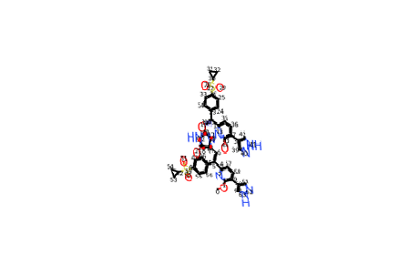 COc1nc(C(=C[C@H]2CCC(=O)N2n2c(/C(=C\[C@H]3CCC(=O)N3)c3ccc(S(=O)(=O)C4CC4)cc3)ccc(-c3cn[nH]c3)c2=O)c2ccc(S(=O)(=O)C3CC3)cc2)ccc1-c1cn[nH]c1